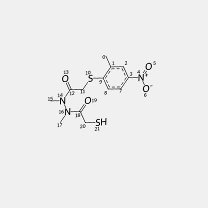 Cc1cc([N+](=O)[O-])ccc1SCC(=O)N(C)N(C)C(=O)CS